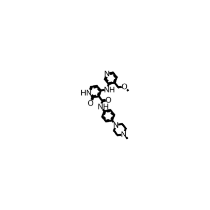 COCc1ccncc1Nc1cc[nH]c(=O)c1C(=O)Nc1ccc(N2CCN(C)CC2)cc1